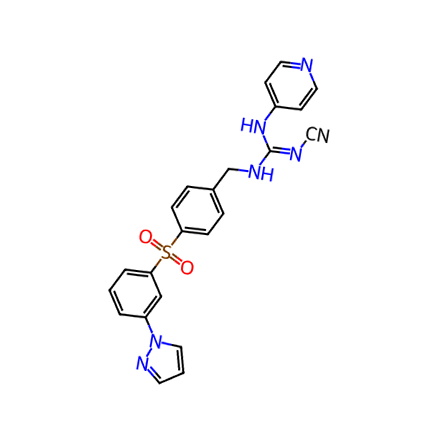 N#CN=C(NCc1ccc(S(=O)(=O)c2cccc(-n3cccn3)c2)cc1)Nc1ccncc1